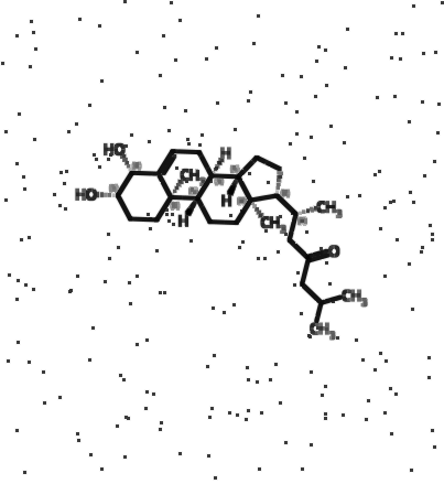 CC(C)CC(=O)C[C@@H](C)[C@H]1CC[C@H]2[C@@H]3CC=C4[C@@H](O)[C@@H](O)CC[C@]4(C)[C@H]3CC[C@]12C